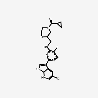 O=C(C1CC1)N1CCOC(CNc2nc(C3=CNC4NC=C(Cl)C=C34)ncc2F)C1